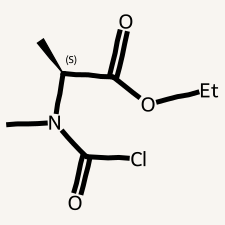 CCOC(=O)[C@H](C)N(C)C(=O)Cl